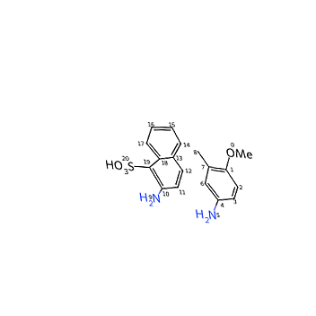 COc1ccc(N)cc1C.Nc1ccc2ccccc2c1S(=O)(=O)O